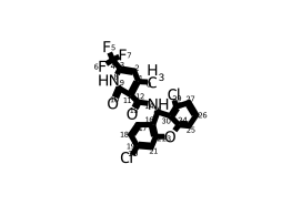 Cc1cc(C(F)(F)F)[nH]c(=O)c1C(=O)NC1c2ccc(Cl)cc2Oc2cccc(Cl)c21